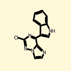 Clc1nc(-c2c[nH]c3ccccc23)c2nccn2n1